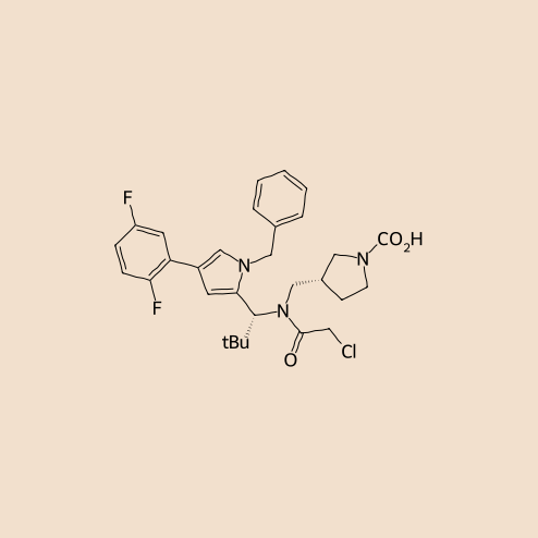 CC(C)(C)[C@H](c1cc(-c2cc(F)ccc2F)cn1Cc1ccccc1)N(C[C@H]1CCN(C(=O)O)C1)C(=O)CCl